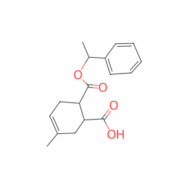 CC1=CCC(C(=O)OC(C)c2ccccc2)C(C(=O)O)C1